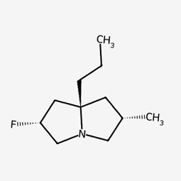 CCC[C@@]12C[C@H](C)CN1C[C@H](F)C2